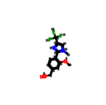 COc1cc(CO)ccc1-c1nc(C(F)(F)F)cn1C